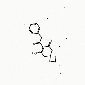 O=C(Cc1ccccc1)C1=C(O)CC2(CCC2)CC1=O